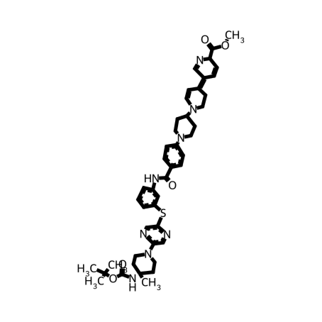 COC(=O)C1C=CC(=C2C=CN(C3CCN(c4ccc(C(=O)Nc5cccc(Sc6cnc(N7CCC(C)(NC(=O)OC(C)(C)C)CC7)cn6)c5)cc4)CC3)CC2)C=N1